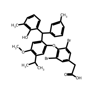 COc1cc(C(c2cccc(C)c2)c2cccc(C)c2O)c(Oc2c(Br)cc(CC(=O)O)cc2Br)cc1C(C)C